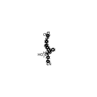 N#Cc1ccc(-c2ccc(C[C@H](NC(=O)C3Cc4cc5c(cc4CN3C(=O)C3CCCCC3)O[C@@H](c3ccc(OCc4ccc(Cl)c(Cl)c4)cc3)CO5)C(=O)O)cc2)cc1